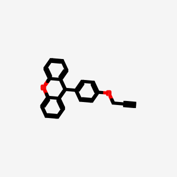 C#CCOc1ccc(C2c3ccccc3Oc3ccccc32)cc1